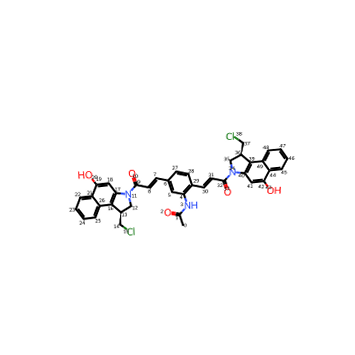 CC(=O)Nc1cc(C=CC(=O)N2C[C@@H](CCl)c3c2cc(O)c2ccccc32)ccc1C=CC(=O)N1C[C@@H](CCl)c2c1cc(O)c1ccccc21